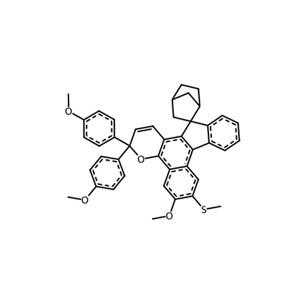 COc1ccc(C2(c3ccc(OC)cc3)C=Cc3c4c(c5cc(SC)c(OC)cc5c3O2)-c2ccccc2C42CC3CCC2C3)cc1